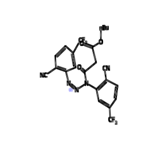 CCCCOC(=O)CC(=O)N(/N=N\c1cc(C(F)(F)F)ccc1C#N)c1cc(C(F)(F)F)ccc1C#N